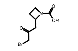 O=C(CBr)CC1CCN1C(=O)O